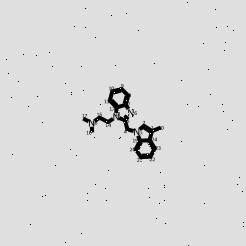 Cc1cn(Cc2nc3ccccc3n2CCN(C)C)c2ccccc12